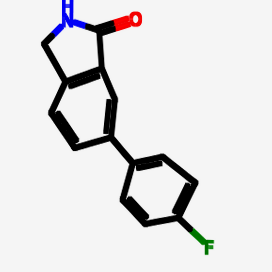 O=C1NCc2ccc(-c3ccc(F)cc3)cc21